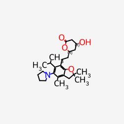 Cc1c2c(c(CC[C@@H]3C[C@@H](O)CC(=O)O3)c(C(C)C)c1N1CCCC1)OC(C)(C)C2